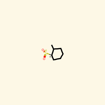 CC1CCCC[C@H]1[SH](=O)=O